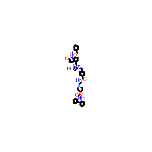 CC(C)(C)[Si](C)(C)O[C@H](CNCc1ccc(C(=O)NCCN2CCC(OC(=O)Nc3ccccc3-c3ccccc3)CC2)cc1)c1ccc(OCc2ccccc2)c2[nH]c(=O)ccc12